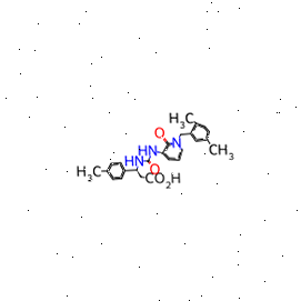 Cc1ccc([C@H](CC(=O)O)NC(=O)Nc2cccn(Cc3cc(C)ccc3C)c2=O)cc1